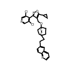 Clc1cncc(Cl)c1-c1noc(C2CC2)c1COC12CCC(CCc3ccc4ncccc4c3)(CC1)CC2